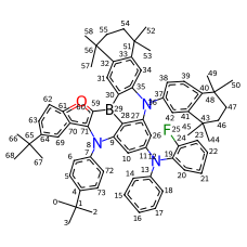 CC(C)(C)c1ccc(N2c3cc(N(c4ccccc4)c4ccccc4F)cc4c3B(c3cc5c(cc3N4c3ccc4c(c3)C(C)(C)CCC4(C)C)C(C)(C)CCC5(C)C)c3oc4ccc(C(C)(C)C)cc4c32)cc1